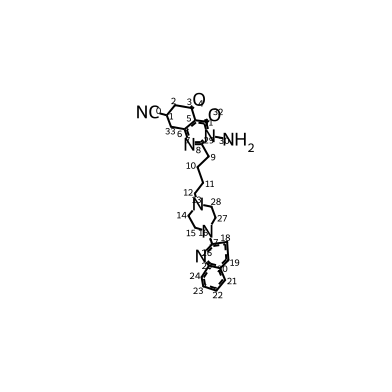 N#CC1CC(=O)c2c(nc(CCCCN3CCN(c4ccc5ccccc5n4)CC3)n(N)c2=O)C1